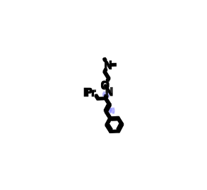 CC(C)CC(/C=C/c1ccccc1)=N\OCCN(C)C